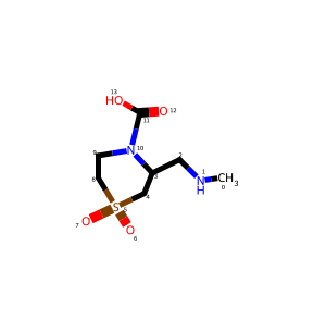 CNCC1CS(=O)(=O)CCN1C(=O)O